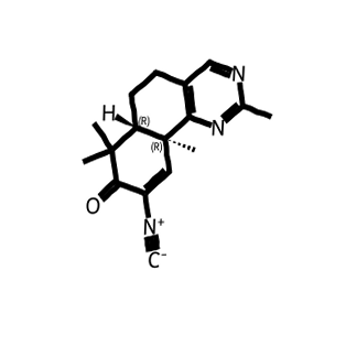 [C-]#[N+]C1=C[C@]2(C)c3nc(C)ncc3CC[C@H]2C(C)(C)C1=O